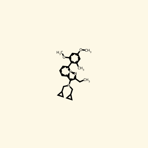 CCc1nn2c(-c3c(C)cc(OC)cc3OC)cccc2c1N(CC1CC1)CC1CC1